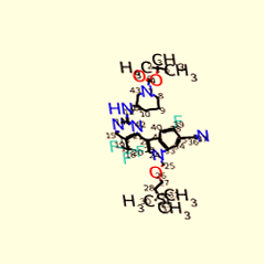 CC(C)(C)OC(=O)N1CCC[C@H](Nc2ncc(C(F)(F)F)c(-c3cn(COCC[Si](C)(C)C)c4cc(C#N)c(F)cc34)n2)C1